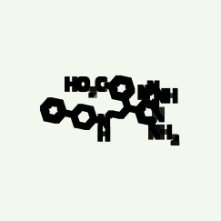 Nc1cc(C(CCNC2CCC(c3ccccc3)CC2)c2cccc(C(=O)O)c2)c2nn[nH]c2n1